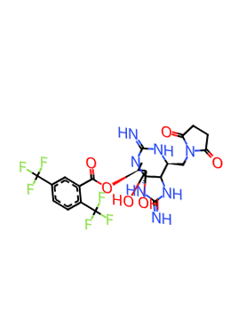 N=C1NC2[C@H](CN3C(=O)CCC3=O)NC(=N)N3C[C@H](OC(=O)c4cc(C(F)(F)F)ccc4C(F)(F)F)C(O)(O)[C@@]23N1